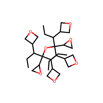 CCC(C1COC1)C(OC(C1CO1)(C(CC)C1COC1)C(CC)C1COC1)(C1CO1)C(CC)C1COC1